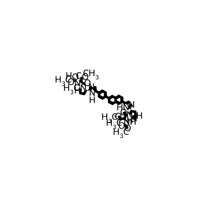 COC(=O)N[C@H](C(=O)N1[C@H](C)CC[C@H]1c1ncc(-c2ccc(-c3ccc4cc(-c5cnc([C@@H]6C[C@H]7C[C@H]7N6C(=O)[C@@H](NC(=O)OC)[C@@H](C)OC)[nH]5)ccc4c3)cc2)[nH]1)[C@@H](C)OC